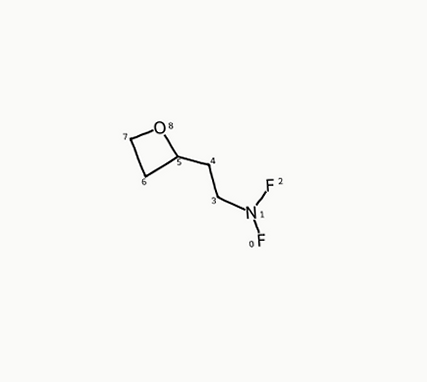 FN(F)CCC1CCO1